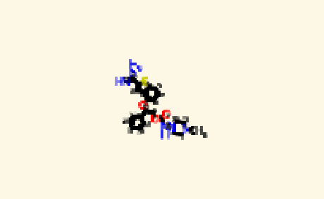 CN1CCN(NC(=O)OCC(Oc2cccc3sc(C(=N)N)cc23)c2ccccc2)CC1